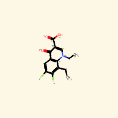 CCc1c(F)c(F)cc2c(=O)c(C(=O)O)cn(CC)c12